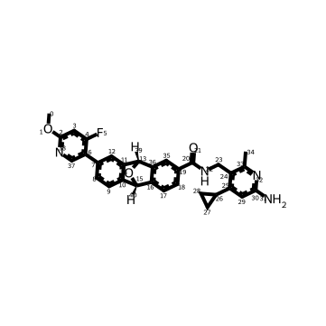 COc1cc(F)c(-c2ccc3c(c2)[C@H]2O[C@@H]3c3ccc(C(=O)NCc4c(C5CC5)cc(N)nc4C)cc32)cn1